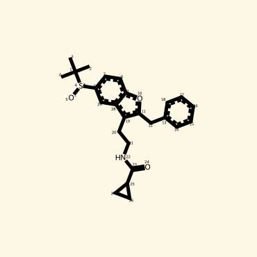 CC(C)(C)[S+]([O-])c1ccc2oc(Cc3ccccc3)c(CCNC(=O)C3CC3)c2c1